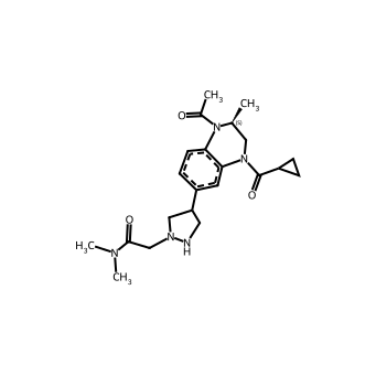 CC(=O)N1c2ccc(C3CNN(CC(=O)N(C)C)C3)cc2N(C(=O)C2CC2)C[C@@H]1C